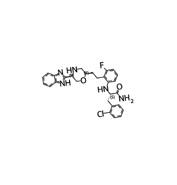 NC(=O)[C@H](Cc1ccccc1Cl)Nc1cccc(F)c1CC[C@@H]1CN[C@H](c2nc3ccccc3[nH]2)CO1